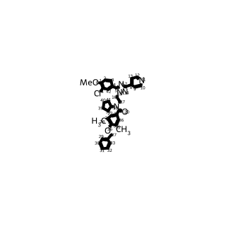 COc1ccc(-c2nc(-c3ccncc3)nn2CCN(C(=O)c2cc(C)c(OCc3ccccc3)c(C)c2)C2CCCC2)cc1Cl